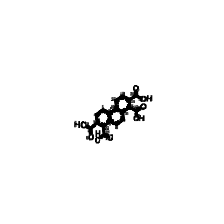 O=C(O)c1ccc2c(ccc3c(C(=O)O)c(C(=O)O)ccc32)c1C(=O)O